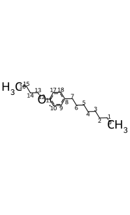 CCCCCCCCc1c[c]c(OCCCC)cc1